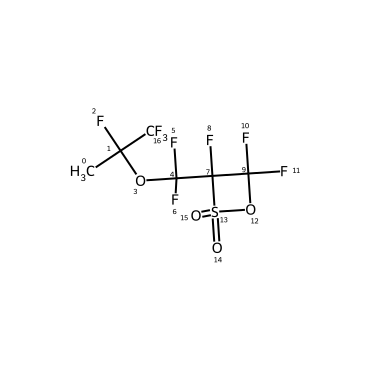 CC(F)(OC(F)(F)C1(F)C(F)(F)OS1(=O)=O)C(F)(F)F